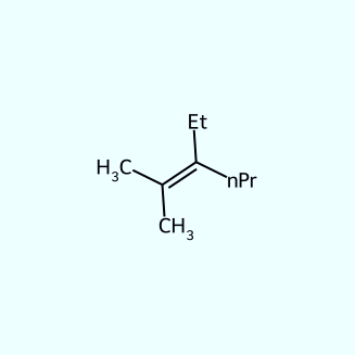 CCCC(CC)=C(C)C